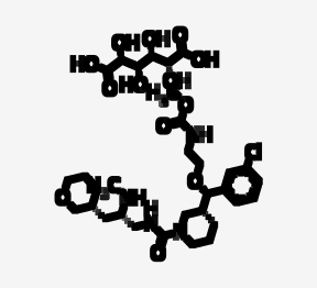 CN[C@H](CNC(=O)N1CCC[C@@H]([C@@H](OCCNC(=O)OC)c2cccc(Cl)c2)C1)C[C@H]1CCCOC1.O=C(O)[C@@H](O)[C@H](O)[C@H](O)[C@@H](O)C(=O)O